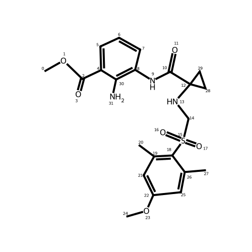 COC(=O)c1cccc(NC(=O)C2(NCS(=O)(=O)c3c(C)cc(OC)cc3C)CC2)c1N